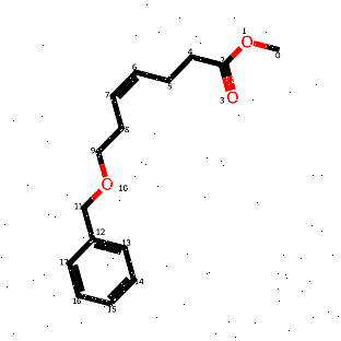 COC(=O)CC/C=C\CCOCc1ccccc1